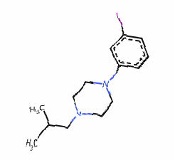 C[C](C)CN1CCN(c2cccc(I)c2)CC1